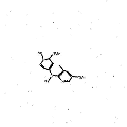 CCCN(C1=CC(NC)N(C(C)=O)C=C1)c1ncc(NC)cc1C